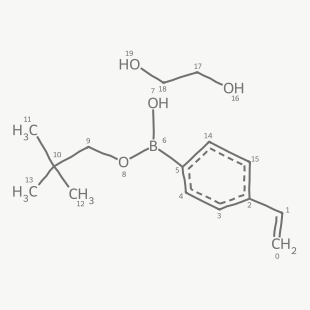 C=Cc1ccc(B(O)OCC(C)(C)C)cc1.OCCO